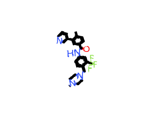 Cc1ccc(C(=O)Nc2ccc(CN3CCN(C)CC3)c(C(F)(F)F)c2)cc1-c1cccnc1